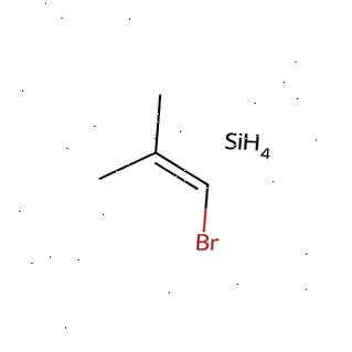 CC(C)=CBr.[SiH4]